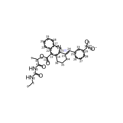 CCNC(=O)NC(=O)C(C)OC(=O)c1c2c(nc3ccccc13)/C(=C/c1cccc([N+](=O)[O-])c1)CCC2